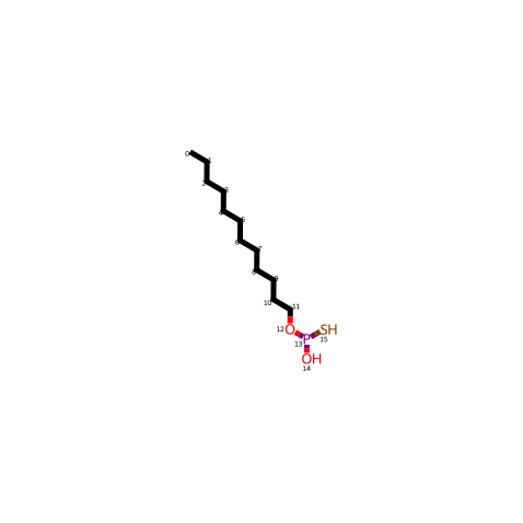 CCCCCCCCCCCCOP(O)S